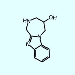 OC1CNCc2nc3ccccc3n2C1